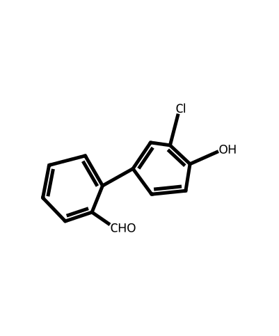 O=Cc1ccccc1-c1ccc(O)c(Cl)c1